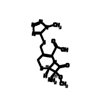 CO[C@@]1(N)C(=O)N2C(C(=O)O)=C(CSc3nnnn3C)CS[C@H]21